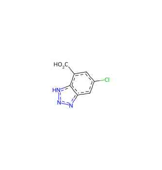 O=C(O)c1cc(Cl)cc2nn[nH]c12